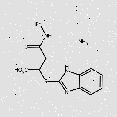 CC(C)NC(=O)CC(Sc1nc2ccccc2[nH]1)C(=O)O.N